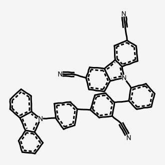 N#Cc1ccc2c(c1)c1cc(C#N)ccc1n2-c1ccccc1-c1ccc(-c2ccc(-n3c4ccccc4c4ccccc43)cc2)cc1C#N